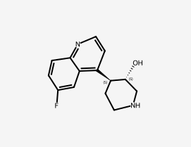 O[C@@H]1CNCC[C@H]1c1ccnc2ccc(F)cc12